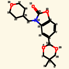 CC1(C)COB(c2ccc3oc(=O)n(CC4CCOCC4)c3c2)OC1